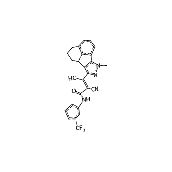 Cn1nc(/C(O)=C(\C#N)C(=O)Nc2cccc(C(F)(F)F)c2)c2c1-c1cccc3c1C2CCC3